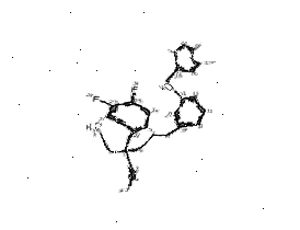 CCC(C#CI)(CCCc1cccc(Oc2ccccc2)c1)c1ccc(F)c(F)c1